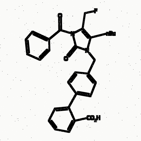 CCCCc1c(CF)n(C(=O)c2ccccc2)c(=O)n1Cc1ccc(-c2ccccc2C(=O)O)cc1